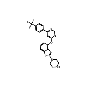 FC(F)(F)c1ccc(-c2cc(Oc3cccc4sc(N5CCNCC5)nc34)ncn2)cc1